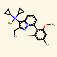 CCc1nn2c(-c3c(Cl)cc(C)cc3OC)cccc2c1[N+](C)(C1CC1)C1CC1